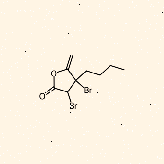 C=C1OC(=O)C(Br)C1(Br)CCCC